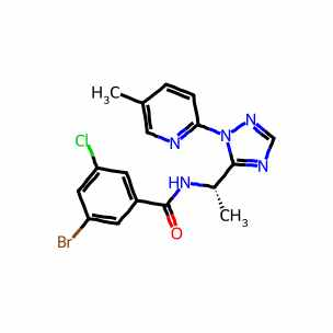 Cc1ccc(-n2ncnc2[C@H](C)NC(=O)c2cc(Cl)cc(Br)c2)nc1